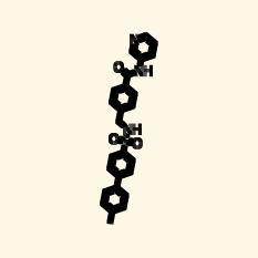 Cc1ccc(-c2ccc(S(=O)(=O)NCc3ccc(C(=O)Nc4cccnc4)cc3)cc2)cc1